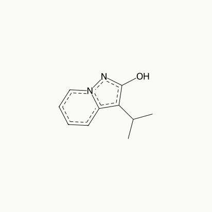 CC(C)c1c(O)nn2ccccc12